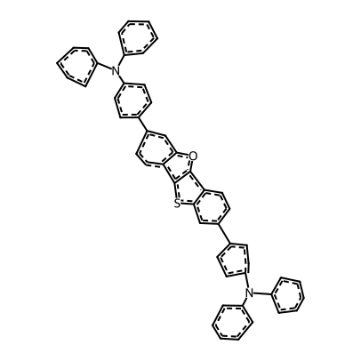 c1ccc(N(c2ccccc2)c2ccc(-c3ccc4c(c3)oc3c5ccc(-c6ccc(N(c7ccccc7)c7ccccc7)cc6)cc5sc43)cc2)cc1